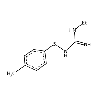 CCNC(=N)NSc1ccc(C)cc1